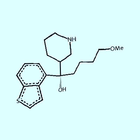 COCCCC[C@@](O)(c1cccc2sccc12)C1CCCNC1